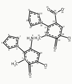 Cn1c(-n2cccn2)c(N)cc(Cl)c1=O.Cn1c(-n2cccn2)c([N+](=O)[O-])cc(Cl)c1=O